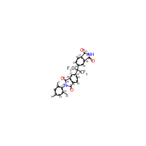 Cc1cc(C)c(N2C(=O)c3ccc(C(c4ccc5c(c4)C(=O)NC5=O)(C(F)(F)F)C(F)(F)F)cc3C2=O)c(C)c1